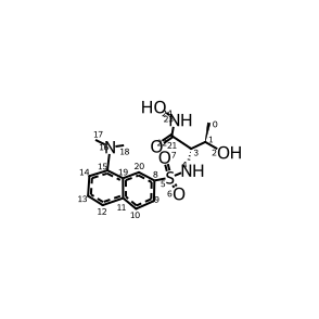 C[C@@H](O)[C@H](NS(=O)(=O)c1ccc2cccc(N(C)C)c2c1)C(=O)NO